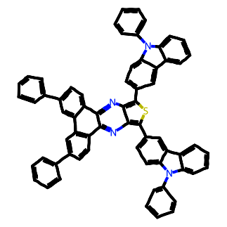 c1ccc(-c2ccc3c(c2)c2cc(-c4ccccc4)ccc2c2nc4c(-c5ccc6c(c5)c5ccccc5n6-c5ccccc5)sc(-c5ccc6c(c5)c5ccccc5n6-c5ccccc5)c4nc32)cc1